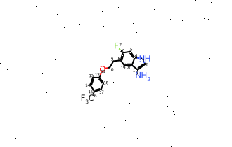 Nc1c[nH]c2cc(F)c(CCOc3ccc(C(F)(F)F)cc3)cc12